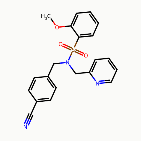 COc1ccccc1S(=O)(=O)N(Cc1ccc(C#N)cc1)Cc1ccccn1